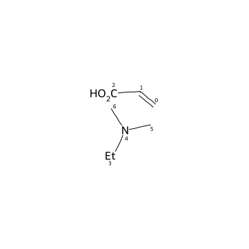 C=CC(=O)O.CCN(C)C